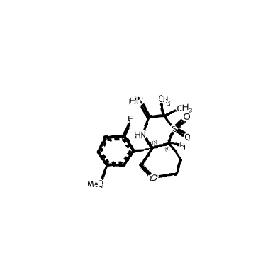 COc1ccc(F)c([C@]23COCC[C@H]2S(=O)(=O)C(C)(C)C(=N)N3)c1